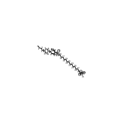 CCCCN1CCN(c2ccc(C(=O)NCCCCCCCCCCCCCCOS(C)(=O)=O)cn2)CC1